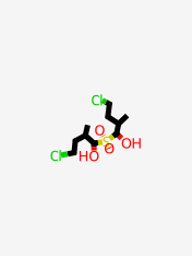 CC(CCCl)C(O)S(=O)(=O)C(O)C(C)CCCl